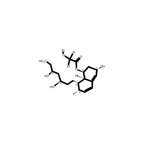 CCOC(CC)(CC)C(=O)O[C@H]1C[C@H](O)C=C2C=C[C@H](C)[C@H](CC[C@@H](O)C[C@@H](O)CC(=O)O)[C@H]21